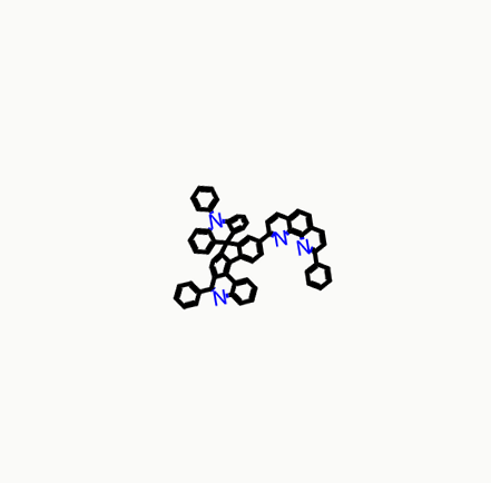 c1ccc(-c2ccc3ccc4ccc(-c5ccc6c(c5)C5(c7ccccc7N(c7ccccc7)c7ccccc75)c5ccc7c(-c8ccccc8)nc8ccccc8c7c5-6)nc4c3n2)cc1